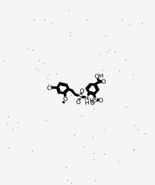 COc1cc(Cl)ccc1CCS(=O)(=O)Nc1ccc(C(=O)O)cc1[SH](=O)=O